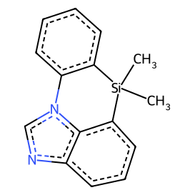 C[Si]1(C)c2ccccc2-n2cnc3cccc1c32